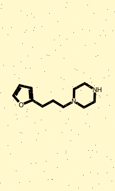 c1coc(CCCN2CCNCC2)c1